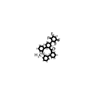 Cn1c2ccccc2c2ccccc2c(=O)c2cc(-c3c(F)c(F)cc(F)c3F)ccc2c2ccccc21